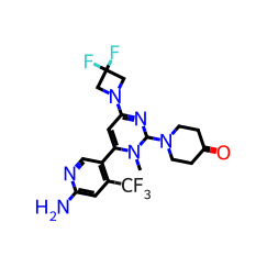 CN1C(c2cnc(N)cc2C(F)(F)F)=CC(N2CC(F)(F)C2)=NC1N1CCC(=O)CC1